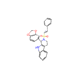 O=S(=O)(/C=C/c1ccccc1)N1CCc2c([nH]c3ccccc23)C1c1ccc2c(c1)OCO2